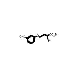 CCOC(=O)C(CCOc1cccc(C=O)c1)C(C)C